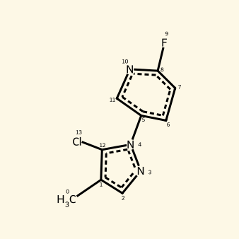 Cc1cnn(-c2ccc(F)nc2)c1Cl